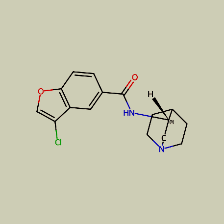 O=C(N[C@H]1CN2CCC1CC2)c1ccc2occ(Cl)c2c1